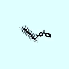 CC(OC(=O)c1ccc(C(=O)c2ccccc2)cc1)C(F)(F)C(F)(F)C(F)(F)C(F)(F)C(F)(F)C(F)(F)C(F)(F)C(F)(F)F